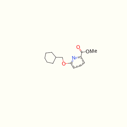 COC(=O)c1cccc(OCC2CCCCC2)n1